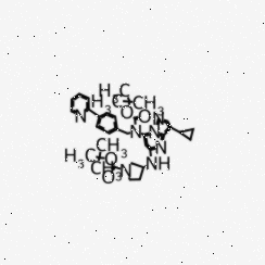 CC(C)(C)OC(=O)N1CC[C@H](Nc2cc(N(Cc3ccc(-c4ccccn4)cc3)C(=O)OC(C)(C)C)n3ncc(C4CC4)c3n2)C1